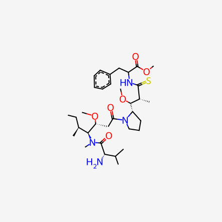 CC[C@H](C)[C@@H]([C@@H](CC(=O)N1CCC[C@H]1C(OC)[C@@H](C)C(=S)NC(Cc1ccccc1)C(=O)OC)OC)N(C)C(=O)[C@@H](N)C(C)C